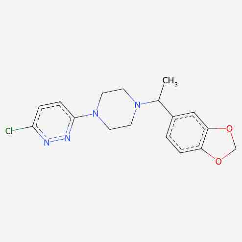 CC(c1ccc2c(c1)OCO2)N1CCN(c2ccc(Cl)nn2)CC1